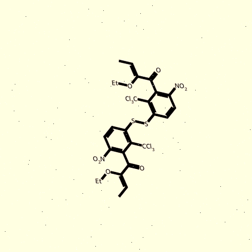 CC=C(OCC)C(=O)c1c([N+](=O)[O-])ccc(SSc2ccc([N+](=O)[O-])c(C(=O)C(=CC)OCC)c2C(Cl)(Cl)Cl)c1C(Cl)(Cl)Cl